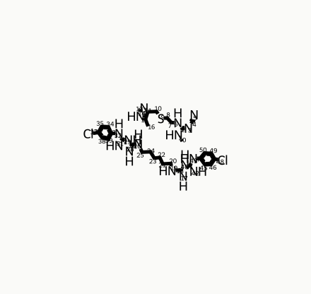 CN/C(=N/C#N)NCCSCc1nc[nH]c1C.N=C(NCCCCCCNC(=N)NC(=N)Nc1ccc(Cl)cc1)NC(=N)Nc1ccc(Cl)cc1